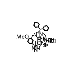 COc1ccc(-n2nnnc2C(F)(F)F)cc1CN1C[C@@H]2CN(C(=O)C3(N)CC3)CCN2[C@H](C(c2ccccc2)c2ccccc2)C1.Cl.Cl.Cl